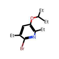 CCc1cc(OC(CC)CC)c(CC)nc1Br